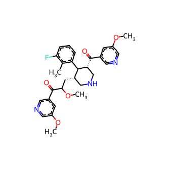 COc1cncc(C(=O)C(C[C@H]2CNC[C@@H](C(=O)c3cncc(OC)c3)C2c2cccc(F)c2C)OC)c1